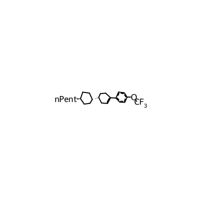 CCCCC[C@H]1CC[C@H](C2CC=C(c3ccc(OC(F)(F)F)cc3)CC2)CC1